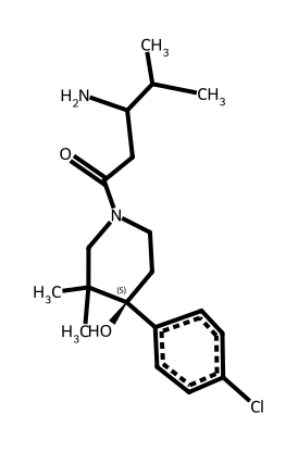 CC(C)C(N)CC(=O)N1CC[C@](O)(c2ccc(Cl)cc2)C(C)(C)C1